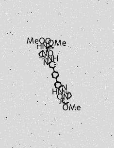 COC(=O)N[C@H](C(=O)N1CCC[C@H]1c1nc2cc(-c3ccc(-c4ccc5[nH]c([C@@H]6CCCN6C(=O)[C@@H](C)[C@@H](C)OC)nc5c4)cc3)ccc2[nH]1)[C@@H](C)OC